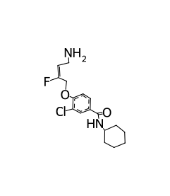 NC/C=C(/F)COc1ccc(C(=O)NC2CCCCC2)cc1Cl